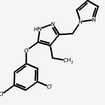 CCc1c(Cn2cccn2)n[nH]c1Oc1cc(Cl)cc(Cl)c1